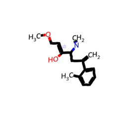 C=NC(CC(=C)c1ccccc1C)/C(O)=C/COC